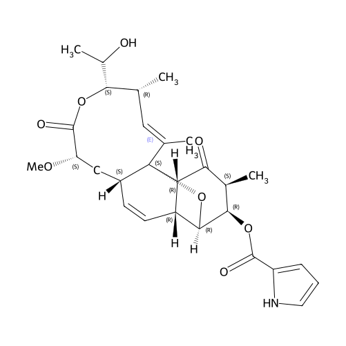 CO[C@H]1C[C@H]2C=C[C@H]3[C@H]4O[C@]2(/C(C)=C/[C@@H](C)[C@@H](C(C)O)OC1=O)[C@@H]3C(=O)[C@@H](C)[C@H]4OC(=O)c1ccc[nH]1